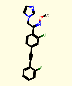 CCO/N=C(\Cn1ccnc1)c1ccc(C#Cc2ccccc2F)cc1Cl